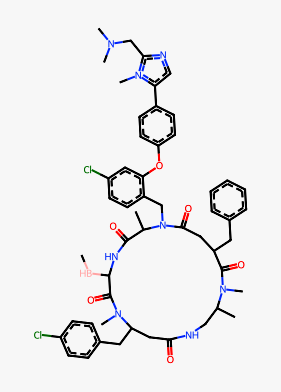 CBC1NC(=O)C(C)N(Cc2ccc(Cl)cc2Oc2ccc(-c3cnc(CN(C)C)n3C)cc2)C(=O)CC(Cc2ccccc2)C(=O)N(C)C(C)CNC(=O)CC(Cc2ccc(Cl)cc2)N(C)C1=O